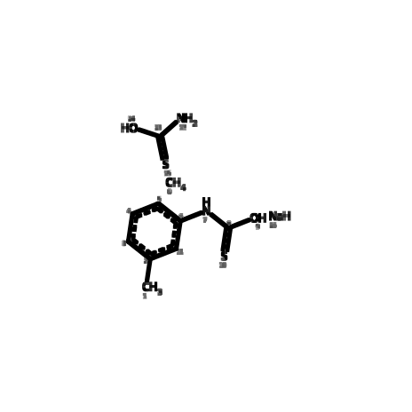 C.Cc1cccc(NC(O)=S)c1.NC(O)=S.[NaH]